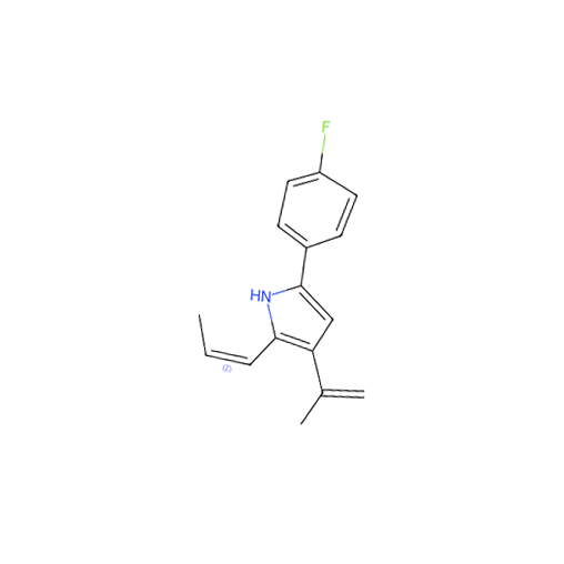 C=C(C)c1cc(-c2ccc(F)cc2)[nH]c1/C=C\C